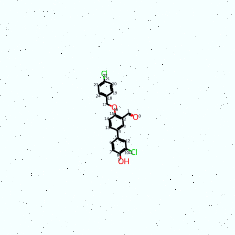 O=Cc1cc(-c2ccc(O)c(Cl)c2)ccc1OCc1ccc(Cl)cc1